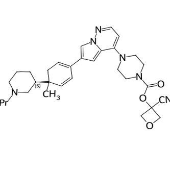 CC(C)N1CCC[C@@H](C2(C)C=CC(c3cc4c(N5CCN(C(=O)OC6(C#N)COC6)CC5)ccnn4c3)=CC2)C1